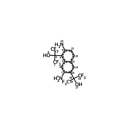 Nc1cc2c(C(O)(C(F)(F)F)C(F)(F)F)c(N)ccc2cc1C(O)(C(F)(F)F)C(F)(F)F